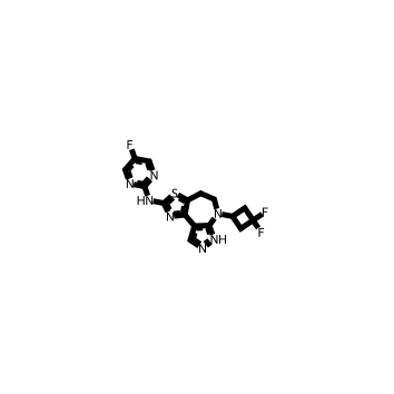 Fc1cnc(Nc2nc3c(s2)CCN(C2CC(F)(F)C2)c2[nH]ncc2-3)nc1